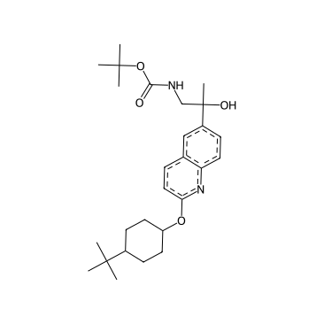 CC(C)(C)OC(=O)NCC(C)(O)c1ccc2nc(OC3CCC(C(C)(C)C)CC3)ccc2c1